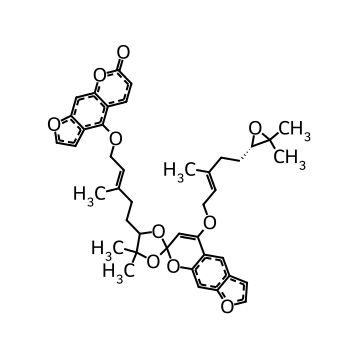 C/C(=C\COc1c2ccoc2cc2oc(=O)ccc12)CCC1OC2(C=C(OC/C=C(\C)CC[C@@H]3OC3(C)C)c3cc4ccoc4cc3O2)OC1(C)C